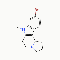 Cn1c2c(c3ccc(Br)cc31)C1CCCN1CC2